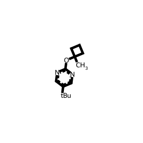 CC1(Oc2ncc(C(C)(C)C)cn2)CCC1